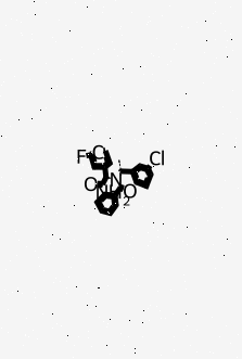 C[C@H](c1cccc(Cl)c1)N(C(=O)c1ccccc1)[C@H](C(N)=O)c1cccc(F)c1